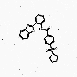 O=C(Nc1ccccc1-c1nc2ccccc2[nH]1)c1ccc(S(=O)(=O)N2CCCC2)cc1